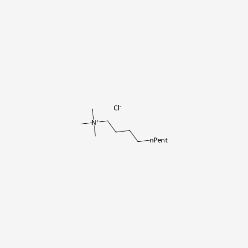 CCCCCCCCC[N+](C)(C)C.[Cl-]